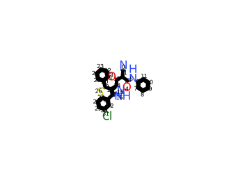 N#CC(C(=O)Nc1ccccc1)C(=O)c1n[nH]c2c1C(c1ccccc1)Sc1ccc(Cl)cc1-2